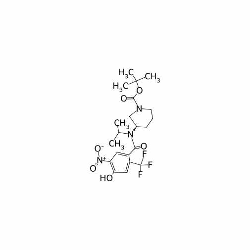 CC(C)N(C(=O)c1cc([N+](=O)[O-])c(O)cc1C(F)(F)F)[C@@H]1CCCN(C(=O)OC(C)(C)C)C1